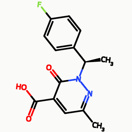 Cc1cc(C(=O)O)c(=O)n([C@H](C)c2ccc(F)cc2)n1